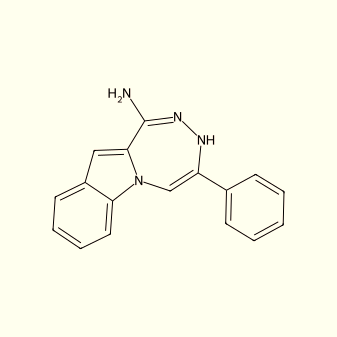 NC1=NNC(c2ccccc2)=Cn2c1cc1ccccc12